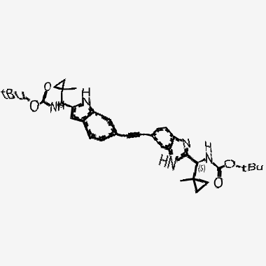 CC(C)(C)OC(=O)N[C@H](c1cc2ccc(C#Cc3ccc4nc([C@@H](NC(=O)OC(C)(C)C)C5(C)CC5)[nH]c4c3)cc2[nH]1)C1(C)CC1